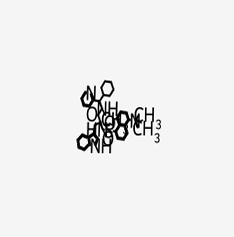 CN(C)c1cccc2c(S(=O)(=O)NC(C)(Cc3c[nH]c4ccccc34)C(=O)NC(c3ccccn3)C3CCCCC3)cccc12